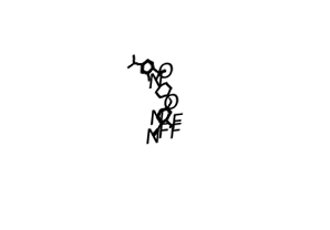 CC(C)c1ccc2c(c1)CN([C@H]1CC[C@H](Oc3cnc(C#N)c(C(F)(F)F)c3)CC1)C2=O